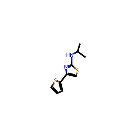 CC(C)Nc1nc(-c2cccs2)cs1